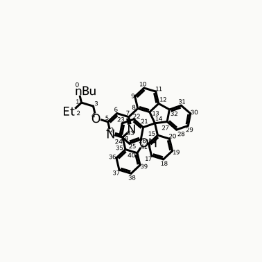 CCCCC(CC)COc1cc(-c2cccc3c2C(c2ccccc2)(c2ccccc2)c2ccccc2-3)nc(-c2ccccc2O)n1